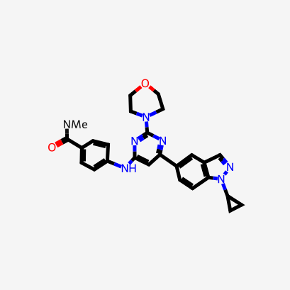 CNC(=O)c1ccc(Nc2cc(-c3ccc4c(cnn4C4CC4)c3)nc(N3CCOCC3)n2)cc1